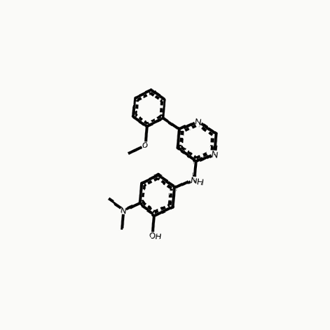 COc1ccccc1-c1cc(Nc2ccc(N(C)C)c(O)c2)ncn1